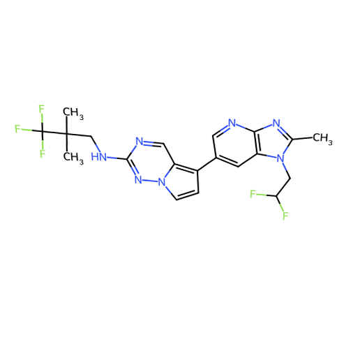 Cc1nc2ncc(-c3ccn4nc(NCC(C)(C)C(F)(F)F)ncc34)cc2n1CC(F)F